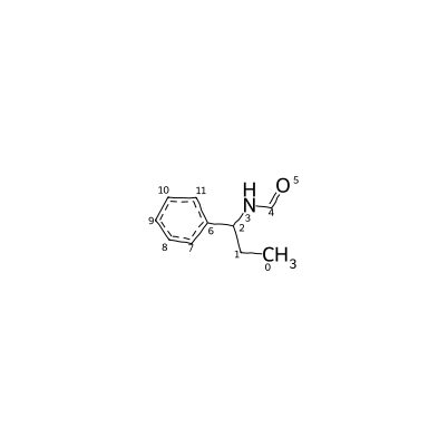 CCC(NC=O)c1ccccc1